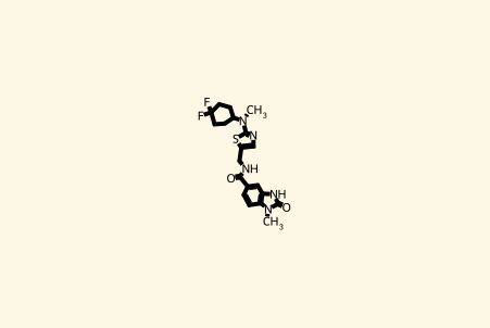 CN(c1ncc(CNC(=O)c2ccc3c(c2)[nH]c(=O)n3C)s1)C1CCC(F)(F)CC1